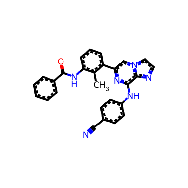 Cc1c(NC(=O)c2ccccc2)cccc1-c1cn2ccnc2c(Nc2ccc(C#N)cc2)n1